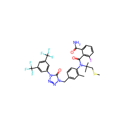 CSCC(C)(C)N(C(=O)c1c(I)cccc1C(N)=O)c1ccc(Cn2nnn(-c3cc(C(F)(F)F)cc(C(F)(F)F)c3)c2=O)cc1C